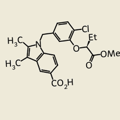 CC[C@H](Oc1cc(Cn2c(C)c(C)c3cc(C(=O)O)ccc32)ccc1Cl)C(=O)OC